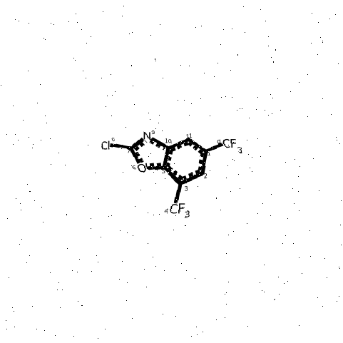 FC(F)(F)c1cc(C(F)(F)F)c2oc(Cl)nc2c1